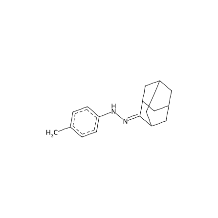 Cc1ccc(NN=C2C3CC4CC(C3)CC2C4)cc1